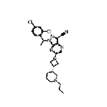 CCCN1CCC[C@H](C2CN(c3cnc4c(C#N)nn(C(C)c5ccc(Cl)cc5Cl)c4n3)C2)C1